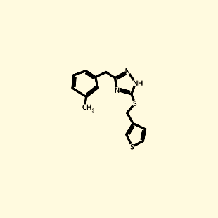 Cc1cccc(Cc2n[nH]c(SCc3ccsc3)n2)c1